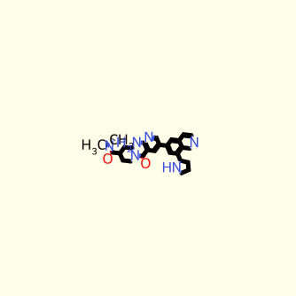 CN(C)C(=O)C1CCN(C(=O)c2cc(-c3cc(C4CCCN4)c4cnccc4c3)cnc2N)CC1